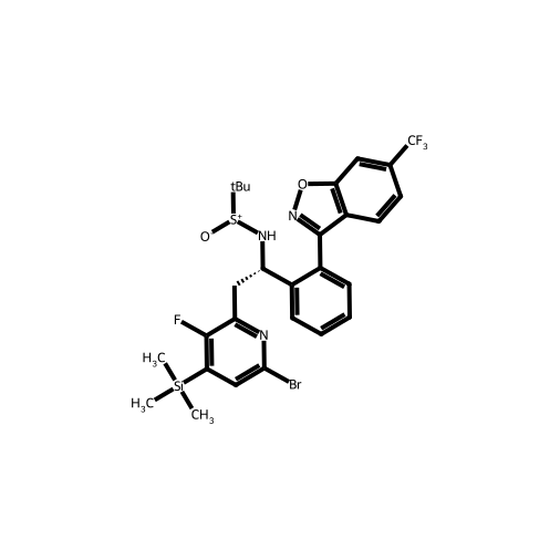 CC(C)(C)[S+]([O-])N[C@@H](Cc1nc(Br)cc([Si](C)(C)C)c1F)c1ccccc1-c1noc2cc(C(F)(F)F)ccc12